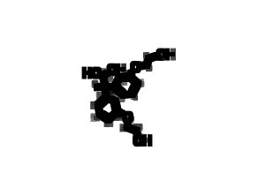 CC(c1cccc(OCCO)c1)(c1cccc(OCCO)c1)C(O)O